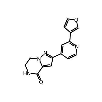 O=C1NCCn2nc(-c3ccnc(-c4ccoc4)c3)cc21